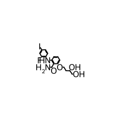 NC(=O)c1c(Nc2ccc(I)cc2F)cccc1OCC[C@@H](O)CO